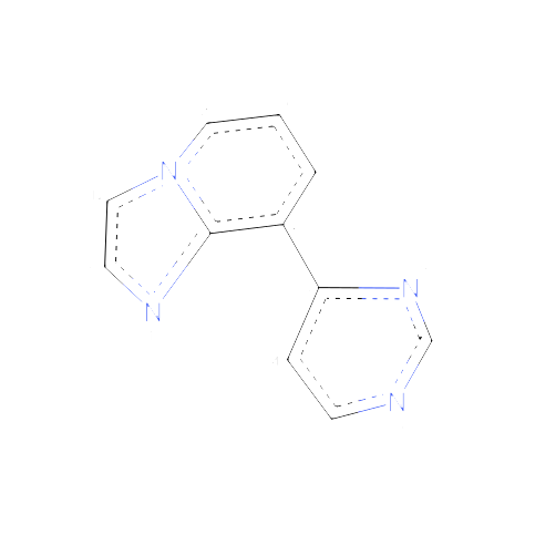 c1cc(-c2ccncn2)c2nccn2c1